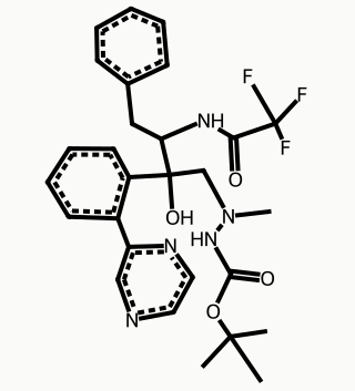 CN(CC(O)(c1ccccc1-c1cnccn1)C(Cc1ccccc1)NC(=O)C(F)(F)F)NC(=O)OC(C)(C)C